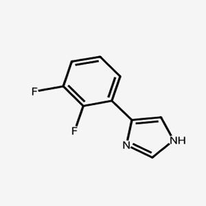 Fc1cccc(-c2c[nH]cn2)c1F